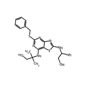 CCCC(CO)Nc1nc2nc(SCc3ccccc3)nc(NC(C)(C)CO)c2s1